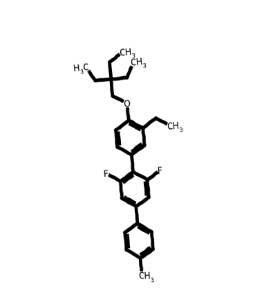 CCc1cc(-c2c(F)cc(-c3ccc(C)cc3)cc2F)ccc1OCC(CC)(CC)CC